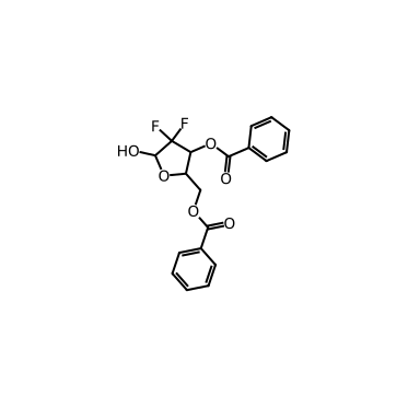 O=C(OCC1OC(O)C(F)(F)C1OC(=O)c1ccccc1)c1ccccc1